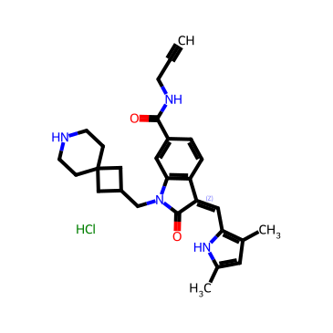 C#CCNC(=O)c1ccc2c(c1)N(CC1CC3(CCNCC3)C1)C(=O)/C2=C\c1[nH]c(C)cc1C.Cl